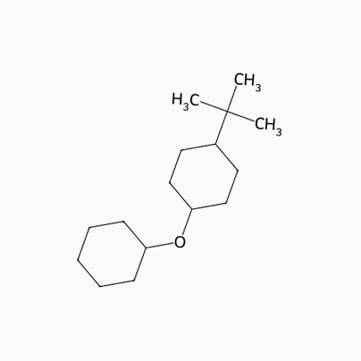 CC(C)(C)C1CCC(OC2CCCCC2)CC1